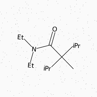 CCN(CC)C(=O)C(C)(C(C)C)C(C)C